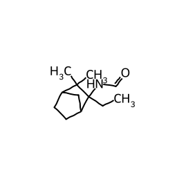 CCC1(NC=O)C2CCC(C2)C1(C)C